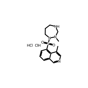 Cc1cncc2cccc(S(=O)(=O)N3CCCNCN3C)c12.Cl.Cl